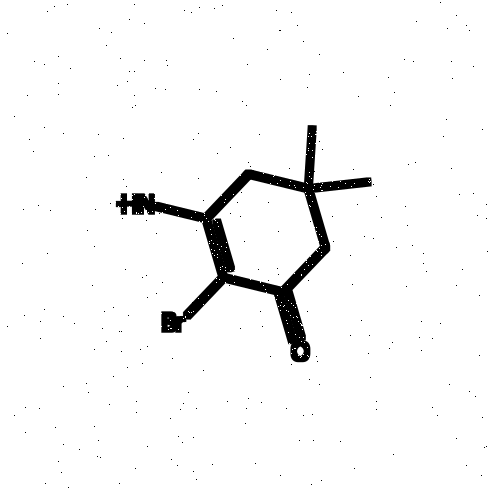 CC1(C)CC(=O)C(Br)=C([NH])C1